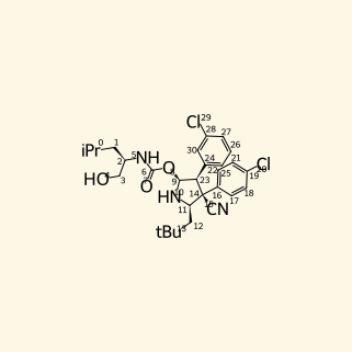 CC(C)C[C@H](CO)NC(=O)O[C@@H]1N[C@H](CC(C)(C)C)[C@@](C#N)(c2ccc(Cl)cc2)[C@@H]1c1cccc(Cl)c1